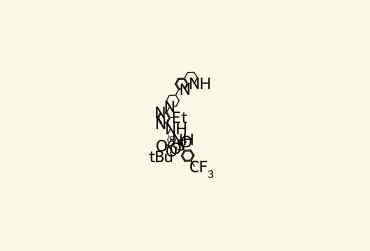 CCc1c(NC[C@H](NS(=O)(=O)c2ccc(C(F)(F)F)cc2)C(=O)OC(C)(C)C)ncnc1N1CCC(c2ccc3c(n2)NCCC3)CC1